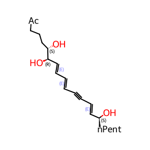 CCCCC[C@H](O)/C=C/C#C/C=C/C=C/[C@@H](O)[C@@H](O)CCCC(C)=O